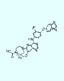 O=C(O)N1CCN2C[C@H]1COc1cc3ncnc(Nc4ccc(Oc5ccn6ncnc6c5)c(F)c4)c3nc12